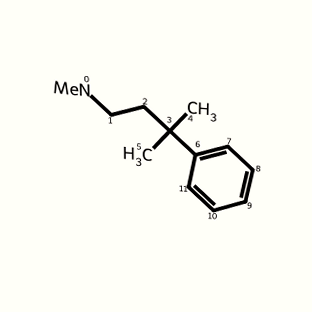 CNCCC(C)(C)c1ccccc1